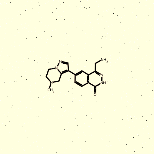 CN1CCn2ncc(-c3ccc4c(=O)[nH]nc(CN)c4c3)c2C1